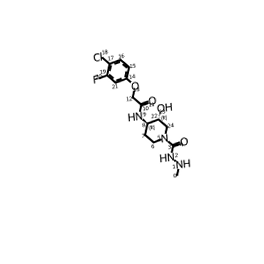 CNNC(=O)N1CC[C@@H](NC(=O)COc2ccc(Cl)c(F)c2)[C@H](O)C1